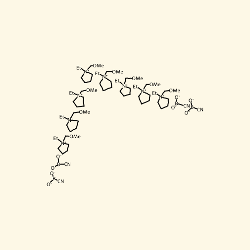 CC[N+]1(COC)CCCC1.CC[N+]1(COC)CCCC1.CC[N+]1(COC)CCCC1.CC[N+]1(COC)CCCC1.CC[N+]1(COC)CCCC1.CC[N+]1(COC)CCCC1.CC[N+]1(COC)CCCC1.CC[N+]1(COC)CCCC1.N#CB([O-])[O-].N#CB([O-])[O-].N#CB([O-])[O-].N#CB([O-])[O-]